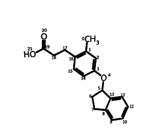 Cc1cc(OC2CCc3ccccc32)ccc1CCC(=O)O